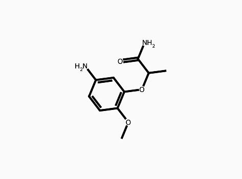 COc1ccc(N)cc1OC(C)C(N)=O